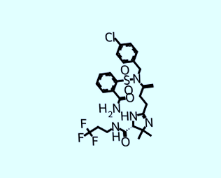 C=C(CCC1=NC(C)(C)[C@H](C(=O)NCCC(F)(F)F)N1)N(Cc1ccc(Cl)cc1)S(=O)(=O)c1ccccc1C(N)=O